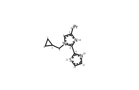 CC(C)c1cn(CC2CC2)c(-c2nccs2)n1